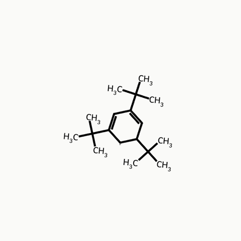 CC(C)(C)C1=CC(C(C)(C)C)=CC(C(C)(C)C)[CH]1